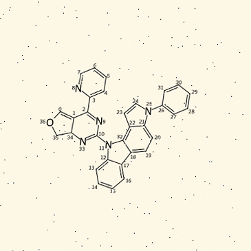 C1=C2C(c3ccccn3)=NC(n3c4ccccc4c4ccc5c(ccn5-c5ccccc5)c43)=NC2CO1